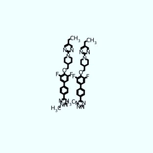 CCc1cnc(N2CCC(COc3c(F)cc(-c4ccc(-c5nnn(C)n5)cc4)cc3F)CC2)nc1.CCc1cnc(N2CCC(COc3c(F)cc(-c4ccc(-c5nnnn5C)cc4)cc3F)CC2)nc1